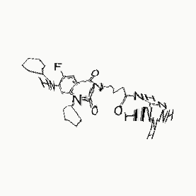 O=C(CCCn1c(=O)c2cc(F)c(NC3CCCCC3)cc2n(C2CCCC2)c1=O)NC1=NNNN1